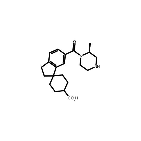 C[C@H]1CNCCN1C(=O)c1ccc2c(c1)C1(CC2)CCC(C(=O)O)CC1